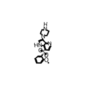 COc1ccccc1S(=O)(=O)c1ccnc2c(N3CCNCC3)c[nH]c12